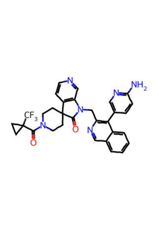 Nc1ccc(-c2c(CN3C(=O)C4(CCN(C(=O)C5(C(F)(F)F)CC5)CC4)c4ccncc43)ncc3ccccc23)cn1